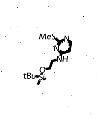 CSc1nccc(NCCO[Si](C)(C)C(C)(C)C)n1